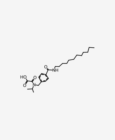 CCCCCCCCCCCCNC(=O)c1ccc(CN(C(=O)C(=O)O)C(C)C)cc1